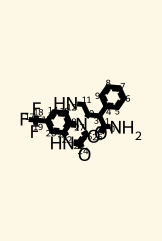 NC(=O)C(c1ccccc1)C1CNc2cc(C(F)(F)F)cc3[nH]c(=O)c(=O)n1c23